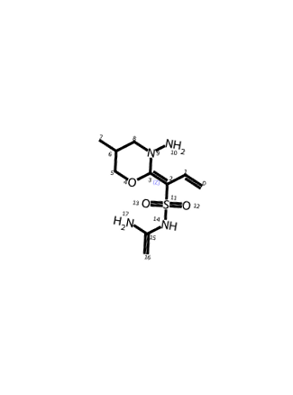 C=C/C(=C1/OCC(C)CN1N)S(=O)(=O)NC(=C)N